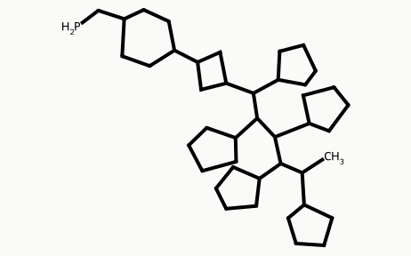 CC(C1CCCC1)C(C1CCCC1)C(C1CCCC1)C(C1CCCC1)C(C1CCCC1)C1CC(C2CCC(CP)CC2)C1